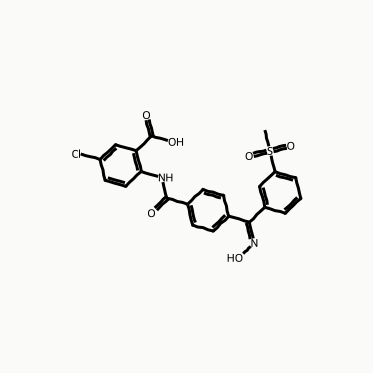 CS(=O)(=O)c1cccc(C(=NO)c2ccc(C(=O)Nc3ccc(Cl)cc3C(=O)O)cc2)c1